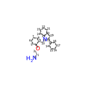 NCCOc1ccccc1Cn1c(-c2ccccc2)cc2ccccc21